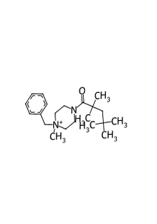 CC(C)(C)CC(C)(C)C(=O)N1CC[N+](C)(Cc2ccccc2)CC1